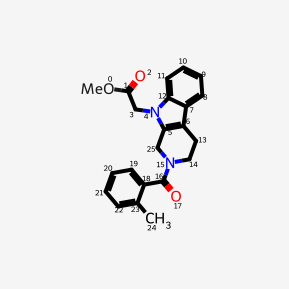 COC(=O)Cn1c2c(c3ccccc31)CCN(C(=O)c1ccccc1C)C2